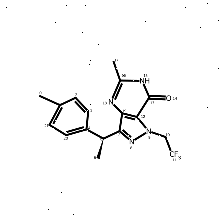 Cc1ccc([C@H](C)c2nn(CC(F)(F)F)c3c(=O)[nH]c(C)nc23)cc1